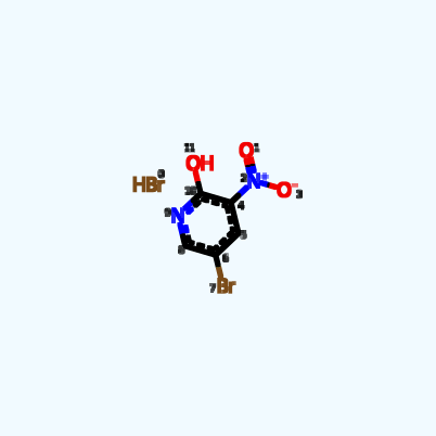 Br.O=[N+]([O-])c1cc(Br)cnc1O